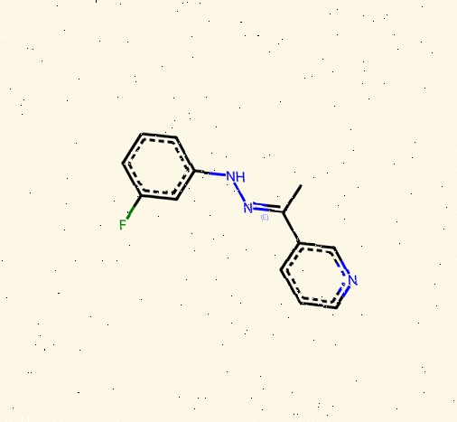 C/C(=N\Nc1cccc(F)c1)c1cccnc1